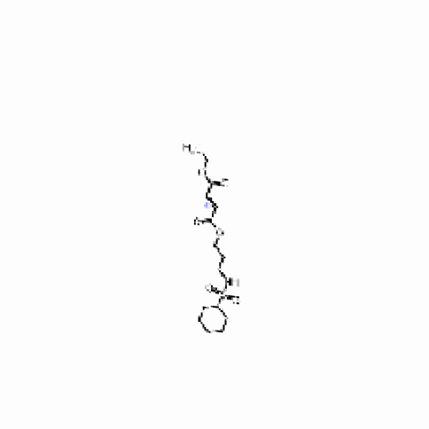 CCOC(=O)/C=C/C(=O)OCCCNS(=O)(=O)C1CCCCC1